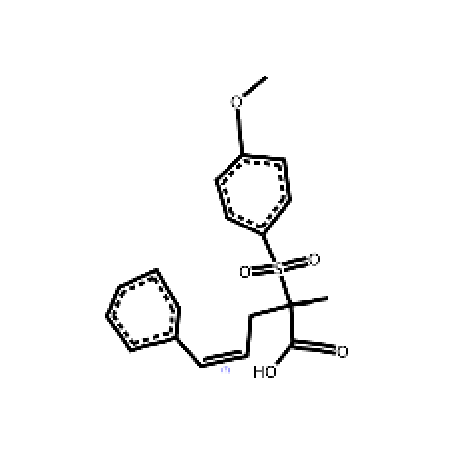 COc1ccc(S(=O)(=O)C(C)(C/C=C\c2ccccc2)C(=O)O)cc1